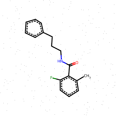 Cc1cccc(F)c1C(=O)NCCCc1ccccc1